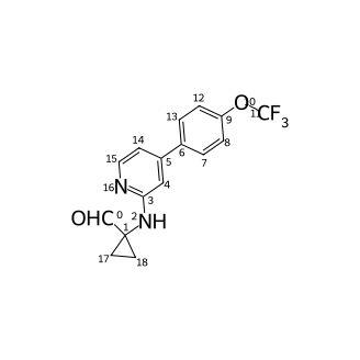 O=CC1(Nc2cc(-c3ccc(OC(F)(F)F)cc3)ccn2)CC1